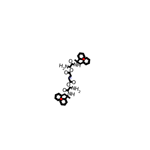 CC(Cc1ccccc1)(NC(=O)C(N)OC(=O)/C=C/C(=O)OC(N)C(=O)NC(C)(Cc1ccccc1)c1ccccc1)c1ccccc1